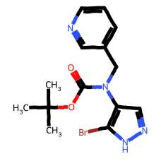 CC(C)(C)OC(=O)N(Cc1cccnc1)c1cn[nH]c1Br